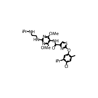 COc1nc(NCCNC(C)C)nc(OC)c1NC(=O)c1csc(Oc2cc(C(C)C)c(Cl)cc2C)n1